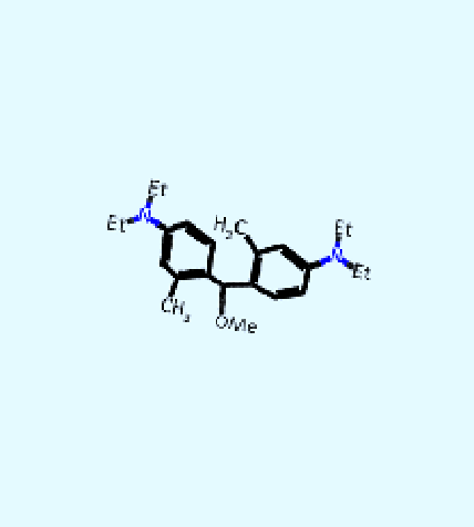 CCN(CC)c1ccc(C(OC)c2ccc(N(CC)CC)cc2C)c(C)c1